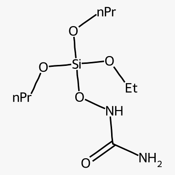 CCCO[Si](OCC)(OCCC)ONC(N)=O